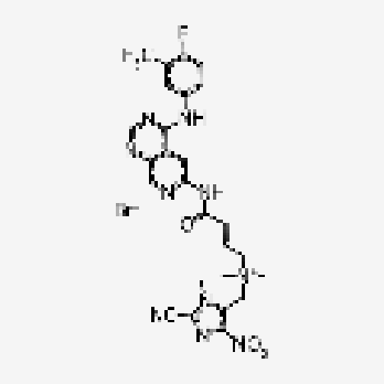 Cn1c(C#N)nc([N+](=O)[O-])c1C[N+](C)(C)C/C=C/C(=O)Nc1cc2c(Nc3ccc(F)c(C(F)(F)F)c3)ncnc2cn1.[Br-]